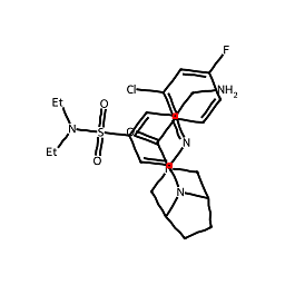 CCN(CC)S(=O)(=O)c1cc(CN)nc(N2C3CCC2CN(C(=O)c2ccc(F)cc2Cl)C3)c1